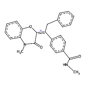 CNC(=O)c1ccc(/C(Cc2ccccc2)=C2/Oc3ccccc3N(C)C2=O)cc1